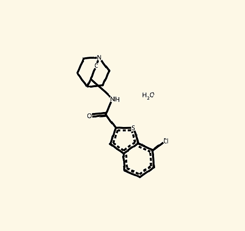 O.O=C(NC1CN2CCC1CC2)c1cc2cccc(Cl)c2s1